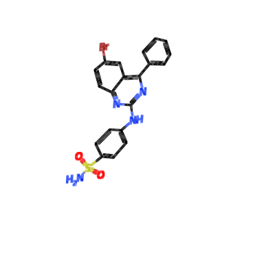 NS(=O)(=O)c1ccc(Nc2nc(-c3ccccc3)c3cc(Br)ccc3n2)cc1